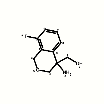 NC1(CO)COCc2c(F)cccc21